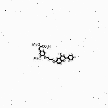 COc1cc(CC(OC)C(=O)O)ccc1OCCCOc1ccc2oc(-c3ccccc3)cc(=O)c2c1